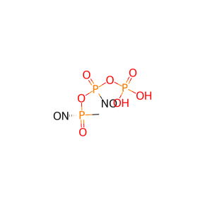 C[P@](=O)(N=O)OP(=O)(N=O)OP(=O)(O)O